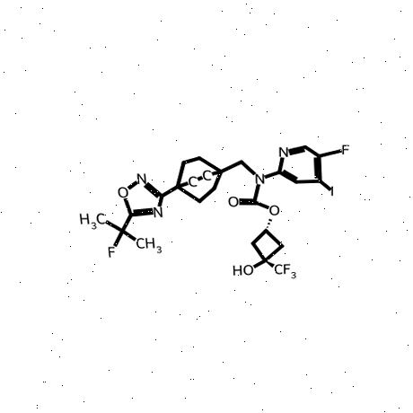 CC(C)(F)c1nc(C23CCC(CN(C(=O)O[C@H]4C[C@](O)(C(F)(F)F)C4)c4cc(I)c(F)cn4)(CC2)CC3)no1